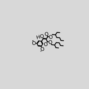 CCCCC(CC)COC(=O)C(C(=O)OCC(CC)CCCC)=C(O)c1cc(OC)cc(OC)c1